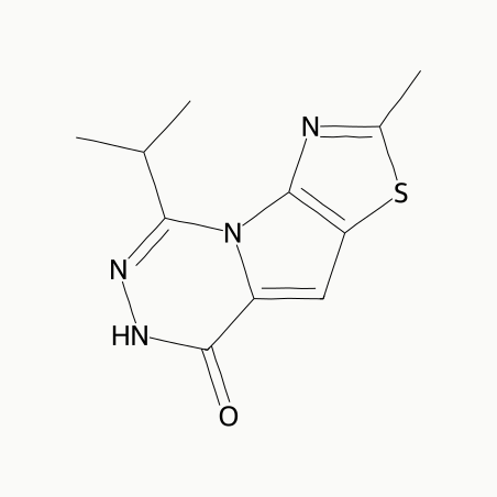 Cc1nc2c(cc3c(=O)[nH]nc(C(C)C)n32)s1